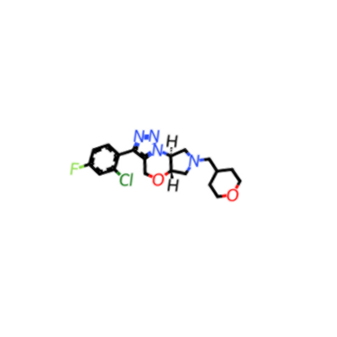 Fc1ccc(-c2nnn3c2CO[C@H]2CN(CC4CCOCC4)C[C@@H]23)c(Cl)c1